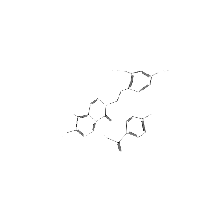 COc1ccc(CCn2ccc3c(O)c(C(=O)O)ncc3c2=O)c(OC)c1.NC(=O)c1ccc(F)cc1